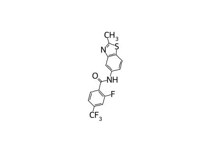 Cc1nc2cc(NC(=O)c3ccc(C(F)(F)F)cc3F)ccc2s1